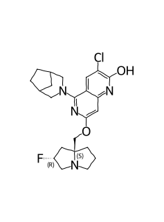 Oc1nc2cc(OC[C@@]34CCCN3C[C@H](F)C4)nc(N3CC4CCC(C4)C3)c2cc1Cl